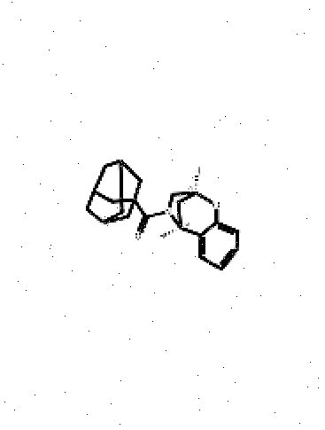 O=C(N1C[C@@H]2C[C@H]1c1ccccc1O2)C12CC3CC(CC(C3)C1)C2